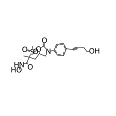 CC(CC1CN(c2ccc(C#CCCO)cc2)C(=O)O1)(C(=O)NO)S(C)(=O)=O